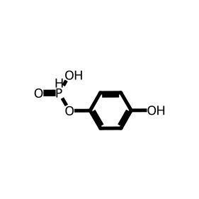 O=[PH](O)Oc1ccc(O)cc1